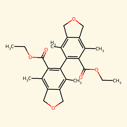 CCOC(=O)c1c(C)c2c(c(C)c1-c1c(C)c3c(c(C)c1C(=O)OCC)COC3)COC2